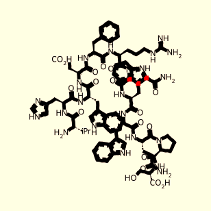 CC(C)[C@H](N)C(=O)N[C@@H](Cc1c[nH]cn1)C(=O)N[C@@H](Cc1c[nH]c2ccccc12)C(=O)N[C@@H](CC(=O)O)C(=O)N[C@@H](Cc1ccccc1)C(=O)N[C@@H](CCCNC(=N)N)C(=O)N[C@@H](CCC(N)=O)C(=O)N[C@@H](Cc1c[nH]c2ccccc12)C(=O)N[C@@H](Cc1c[nH]c2ccccc12)C(=O)N[C@@H](CCC(N)=O)C(=O)N1CCC[C@H]1C(=O)N[C@@H](CO)C(=O)O